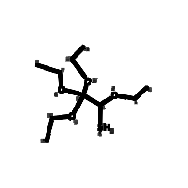 CCOC([SiH3])C(OCC)(OCC)OCC